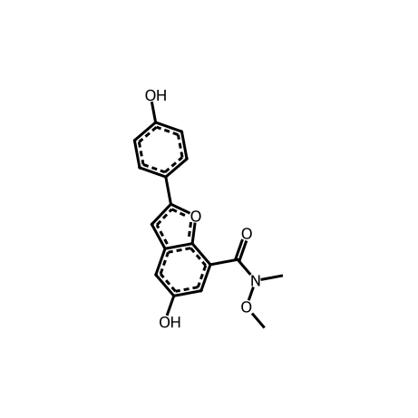 CON(C)C(=O)c1cc(O)cc2cc(-c3ccc(O)cc3)oc12